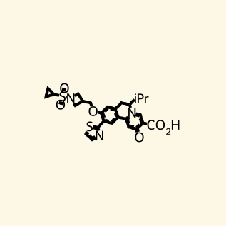 CC(C)C1Cc2cc(OCC3CN(S(=O)(=O)C4CC4)C3)c(-c3nccs3)cc2-c2cc(=O)c(C(=O)O)cn21